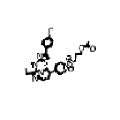 CCc1nc2ccc(C3=CCN(S(=O)(=O)CCCOC(C)=O)CC3)cn2c1N(C)c1nc(-c2ccc(F)cc2)cs1